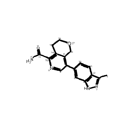 Cc1n[nH]c2cc(-c3cnc(C(N)=O)c4c3COC[CH]4)ccc12